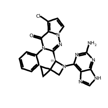 Nc1nc(N2CC3(CC3)[C@H]2c2nn3ccc(Cl)c3c(=O)n2-c2ccccc2)c2nc[nH]c2n1